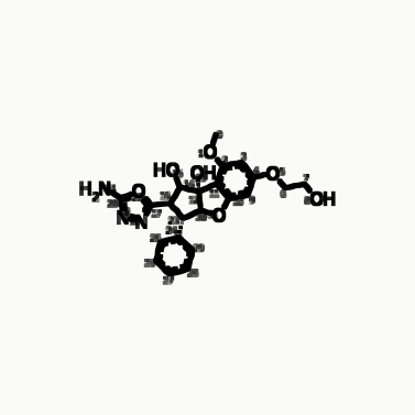 COc1cc(OCCO)cc2c1[C@]1(O)C(O)C(c3nnc(N)o3)[C@@H](c3ccccc3)C1O2